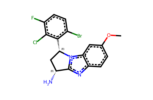 COc1ccc2nc3n(c2c1)[C@@H](c1c(Br)ccc(F)c1Cl)C[C@H]3N